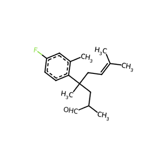 CC(C)=CCC(C)(CC(C)C=O)c1ccc(F)cc1C